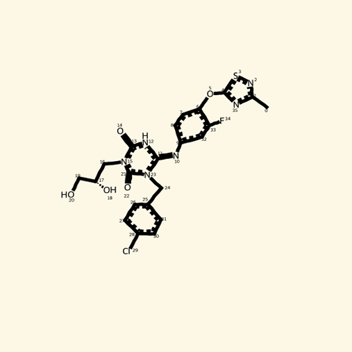 Cc1nsc(Oc2ccc(/N=c3\[nH]c(=O)n(C[C@H](O)CO)c(=O)n3Cc3ccc(Cl)cc3)cc2F)n1